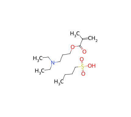 C=C(C)C(=O)OCCCN(CC)CC.CCCCS(=O)(=O)O